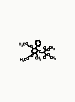 CCc1c(OCOC)cc(OCOC)c(-c2ccccc2)c1CC=C(C(=O)OC)C(=O)OC